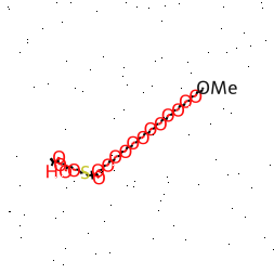 C=C(C)C(=O)OCC(O)COCCSCC(C)(C)C(=O)OCCOCCOCCOCCOCCOCCOCCOCCOCCOCCOCCOCCOC